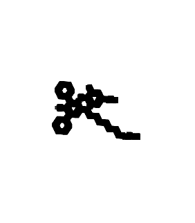 CCCCCCCCCCCCCCCCCCc1cc(C2CCCCC2)c([O])c(C2CCCCC2)c1Oc1c(C)cc(C(C)(C)C)cc1C